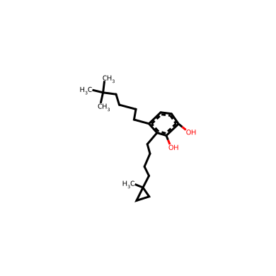 CC(C)(C)CCCCc1ccc(O)c(O)c1CCCCC1(C)CC1